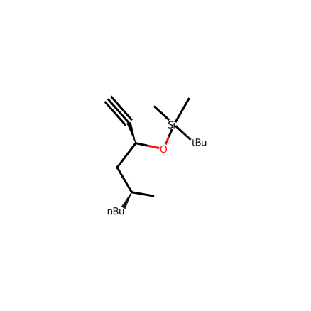 C#C[C@H](C[C@@H](C)CCCC)O[Si](C)(C)C(C)(C)C